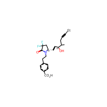 CCC#CCC(C)[C@@H](O)C=C[C@H]1CC(F)(F)C(=O)N1CCc1ccc(C(=O)O)cc1